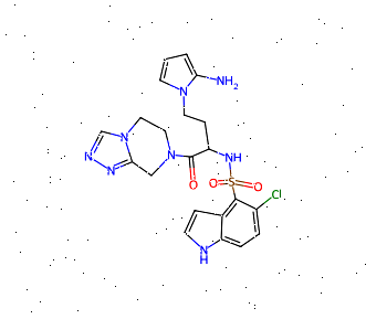 Nc1cccn1CCC(NS(=O)(=O)c1c(Cl)ccc2[nH]ccc12)C(=O)N1CCn2cnnc2C1